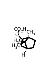 CC1(C)[C@H]2CC[C@]1(C)[C@H](OC(=O)O)C2